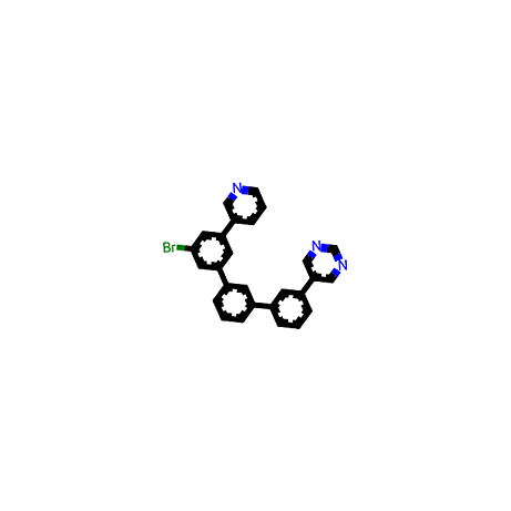 Brc1cc(-c2cccnc2)cc(-c2cccc(-c3cccc(-c4cncnc4)c3)c2)c1